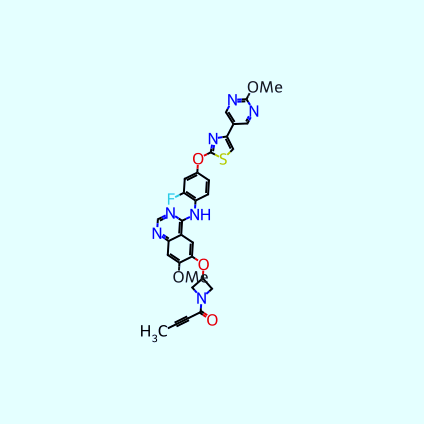 CC#CC(=O)N1CC(Oc2cc3c(Nc4ccc(Oc5nc(-c6cnc(OC)nc6)cs5)cc4F)ncnc3cc2OC)C1